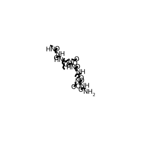 CCCCC(C)(NCC(=O)NCC(=O)NCC)C(=O)CN(CC(=O)OC)C(=O)CNC(=O)CNC(C)(CC)C(=O)CN(CC(=O)OC)C(=O)CNC(=O)CN